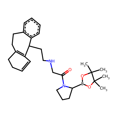 CC1(C)OB(C2CCCN2C(=O)CNCCC2C3=C(CCC=C3)CCc3ccccc32)OC1(C)C